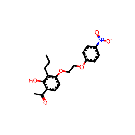 CCCc1c(OCCOc2ccc([N+](=O)[O-])cc2)ccc(C(C)=O)c1O